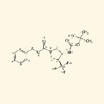 CC(C)(C)OC(=O)N[C@H]1CN(C(=O)OCc2ccccc2)C[C@@H]1C(F)(F)F